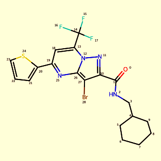 O=C(NCC1CCCCC1)c1nn2c(C(F)(F)F)cc(-c3cccs3)nc2c1Br